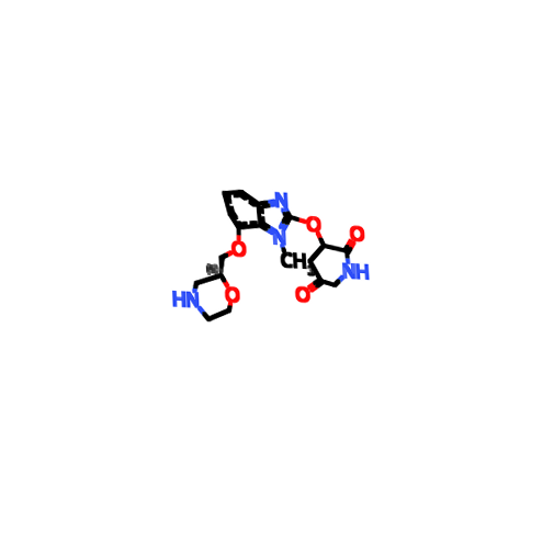 Cn1c(OC2CC(=O)CNC2=O)nc2cccc(OC[C@@H]3CNCCO3)c21